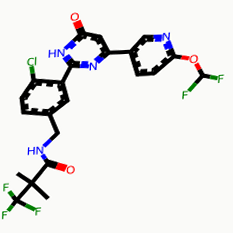 CC(C)(C(=O)NCc1ccc(Cl)c(-c2nc(-c3ccc(OC(F)F)nc3)cc(=O)[nH]2)c1)C(F)(F)F